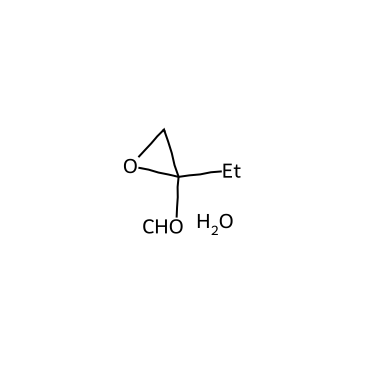 CCC1(C=O)CO1.O